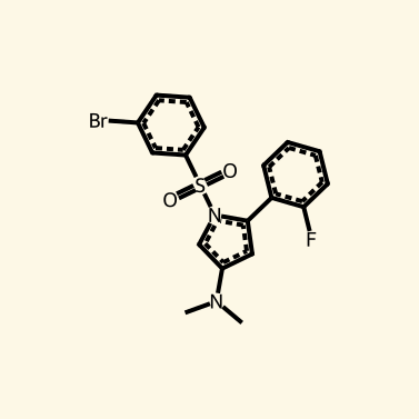 CN(C)c1cc(-c2ccccc2F)n(S(=O)(=O)c2cccc(Br)c2)c1